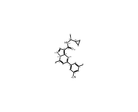 Cc1cc(C#N)cc(-c2cc(C)n3ncc(C(=O)N[C@@H](C)C4CC4)c3n2)c1